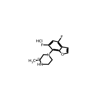 C[C@H]1CN(c2c(F)cc(F)c3ccoc23)CCN1.Cl